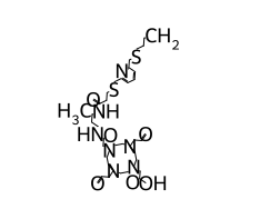 C=CCCSCc1cccc(CSCCC(=O)NC(C)CCNC(=O)CN2CCN(CC=O)CCN(CC(=O)O)CCN(CC=O)CC2)n1